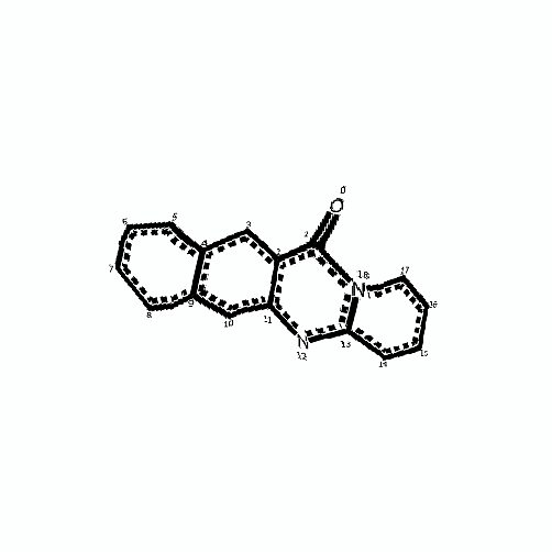 O=c1c2cc3ccccc3cc2nc2ccccn12